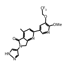 COc1ncc(-c2cc(C)c3c(n2)CN(c2cn[nH]c2)C3=O)cc1OCC(F)(F)F